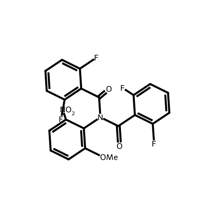 COc1cccc([N+](=O)[O-])c1N(C(=O)c1c(F)cccc1F)C(=O)c1c(F)cccc1F